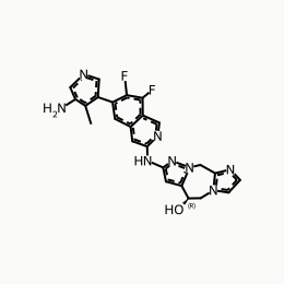 Cc1c(N)cncc1-c1cc2cc(Nc3cc4n(n3)Cc3nccn3C[C@H]4O)ncc2c(F)c1F